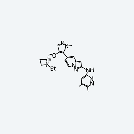 CCN1CC[C@@H]1COc1cnn(C)c1-c1ccn2nc(Nc3cc(C)c(C)nn3)cc2c1